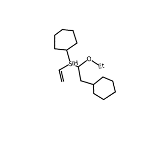 C=C[SiH](C1CCCCC1)C(CC1CCCCC1)OCC